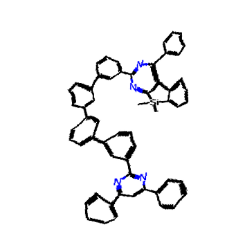 C[Si]1(C)c2ccccc2-c2c(-c3ccccc3)nc(-c3cccc(-c4cccc(-c5cccc(-c6cccc(-c7nc(-c8ccccc8)cc(-c8ccccc8)n7)c6)c5)c4)c3)nc21